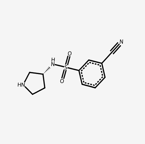 N#Cc1cccc(S(=O)(=O)N[C@@H]2CCNC2)c1